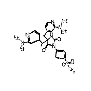 CCN(CC)c1cc(C(C)C2(C(C)c3ccnc(N(CC)CC)c3)NC(=O)N(c3ccc(S(=O)(=O)C(F)(F)F)cc3)C2=O)ccn1